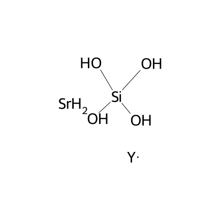 O[Si](O)(O)O.[SrH2].[Y]